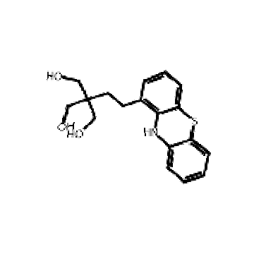 OCC(CO)(CO)CCc1cccc2c1Nc1ccccc1S2